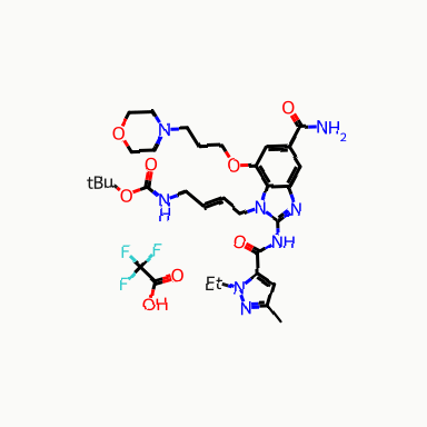 CCn1nc(C)cc1C(=O)Nc1nc2cc(C(N)=O)cc(OCCCN3CCOCC3)c2n1C/C=C/CNC(=O)OC(C)(C)C.O=C(O)C(F)(F)F